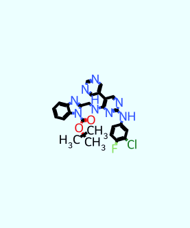 CC(C)(C)OC(=O)n1c(CNc2nc(Nc3ccc(F)c(Cl)c3)ncc2-c2cncnc2)nc2ccccc21